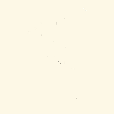 COc1ccc(CNC(=O)C(Oc2ccc(C#N)c(C(F)(F)F)c2)C(C)(C)COS(C)(=O)=O)c(OC)c1